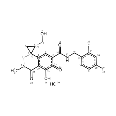 CN1C[C@@]2(C[C@@H]2CO)n2cc(C(=O)NCc3ccc(F)cc3F)c(=O)c(O)c2C1=O.Cl